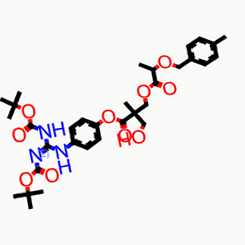 Cc1ccc(COC(C)C(=O)OCC(C)(CO)C(=O)Oc2ccc(N/C(=N\C(=O)OC(C)(C)C)NC(=O)OC(C)(C)C)cc2)cc1